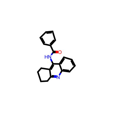 O=C(Nc1c2c(nc3ccccc13)CCCC2)c1ccccc1